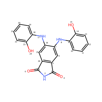 O=C1NC(=O)c2cc(Nc3ccccc3O)c(Nc3ccccc3O)cc21